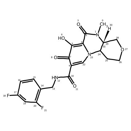 CN1C(=O)c2c(O)c(=O)c(C(=O)NCc3ccc(F)cc3F)cn2C2CCOC[C@H]21